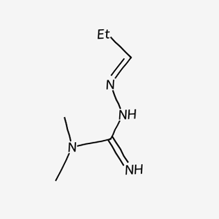 CC/C=N/NC(=N)N(C)C